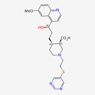 COc1ccc2nccc([C@H](O)CC[C@@H]3CCN(CCSc4cncnc4)C[C@@H]3C(=O)O)c2c1